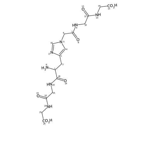 NC(Cc1cn(CC(=O)NCC(=O)NCC(=O)O)cn1)C(=O)NCC(=O)NCC(=O)O